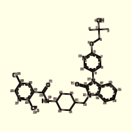 CC(C)(O)COc1ccc(-n2c(=O)n(CC3CCC(NC(=O)c4cc(Cl)cnc4C(F)(F)F)CC3)c3ccccc32)cn1